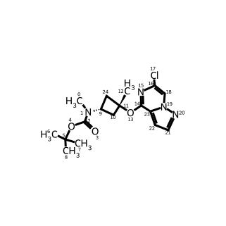 CN(C(=O)OC(C)(C)C)[C@H]1C[C@@](C)(Oc2nc(Cl)cn3nccc23)C1